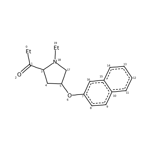 CCC(=O)C1CC(Oc2ccc3ccccc3c2)CN1CC